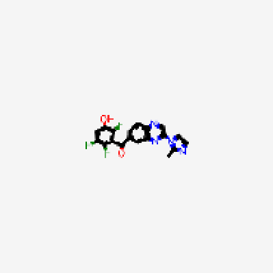 Cc1nccn1-c1cnc2ccc(C(=O)c3c(F)c(O)cc(F)c3F)cc2n1